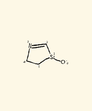 [O-][S+]1C=NCC1